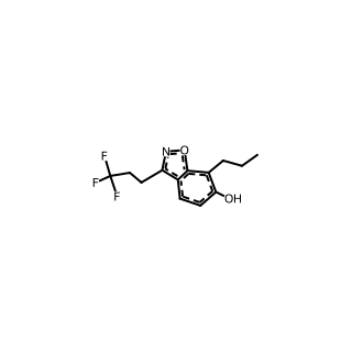 CCCc1c(O)ccc2c(CCC(F)(F)F)noc12